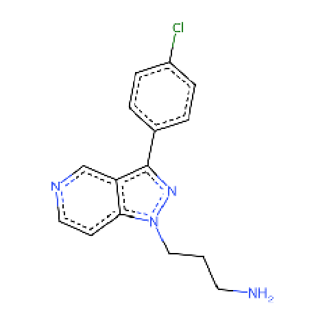 NCCCn1nc(-c2ccc(Cl)cc2)c2cnccc21